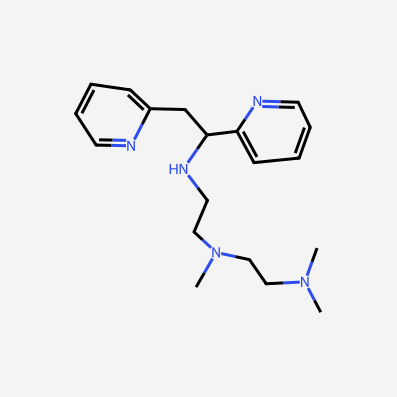 CN(C)CCN(C)CCNC(Cc1ccccn1)c1ccccn1